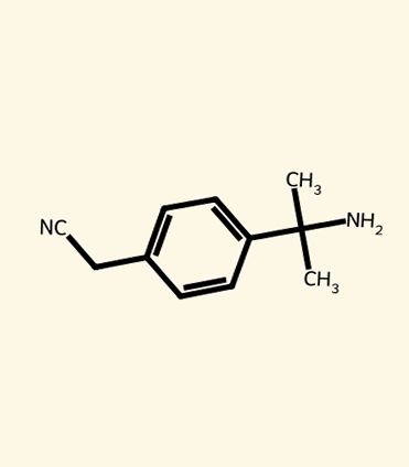 CC(C)(N)c1ccc(CC#N)cc1